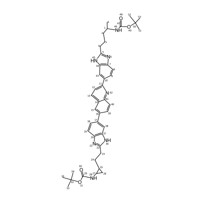 CC(CCCc1nc2ccc(-c3ccc4cc(-c5ccc6nc(CCC7CC7NC(=O)OC(C)(C)C)[nH]c6c5)ccc4n3)cc2[nH]1)NC(=O)OC(C)(C)C